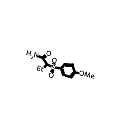 CCC(C(N)=O)S(=O)(=O)c1ccc(OC)cc1